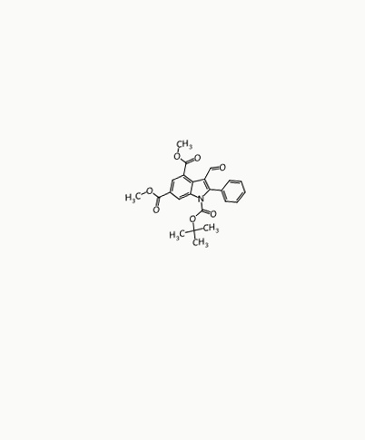 COC(=O)c1cc(C(=O)OC)c2c(C=O)c(-c3ccccc3)n(C(=O)OC(C)(C)C)c2c1